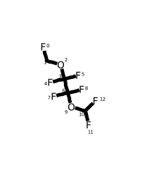 FCOC(F)(F)C(F)(F)OC(F)F